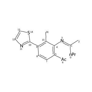 CCC/C(C)=N\c1c(C(C)=O)ccc(-c2nccs2)c1C